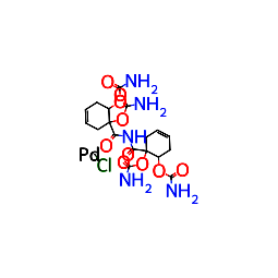 NC(=O)OC1CC=CCC1(OC(N)=O)C(=O)NC(=O)C1(OC(N)=O)CC=CCC1OC(N)=O.[Cl][Pd]